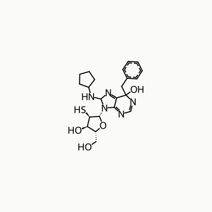 OC[C@H]1O[C@@H](N2C3=NC=NC(O)(Cc4ccccc4)C3=NC2NC2CCCC2)[C@H](S)[C@@H]1O